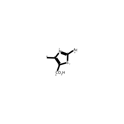 CC(=O)c1nc(C)c(C(=O)O)s1